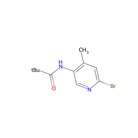 Cc1cc(Br)ncc1NC(=O)C(C)(C)C